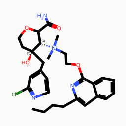 CCCCc1cc2ccccc2c(OCC[N+](C)(C)[C@H]2C(C(N)=O)OCC[C@@]2(O)Cc2ccnc(Cl)c2)n1